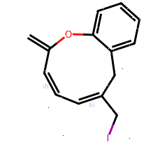 C=C1/C=C\C=C(\CI)Cc2ccccc2O1